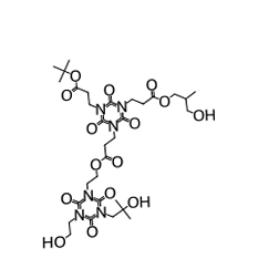 CC(CO)COC(=O)CCn1c(=O)n(CCC(=O)OCCn2c(=O)n(CCO)c(=O)n(CC(C)(C)O)c2=O)c(=O)n(CCC(=O)OC(C)(C)C)c1=O